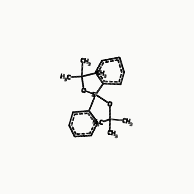 CC(C)(C)O[Si](OC(C)(C)C)(c1ccccc1)c1ccccc1